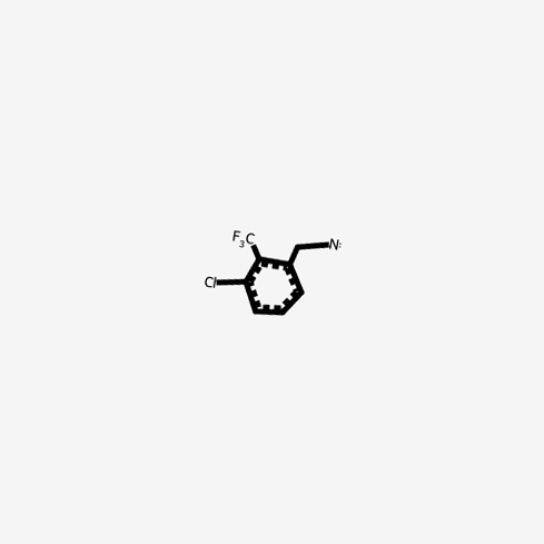 [N]Cc1cccc(Cl)c1C(F)(F)F